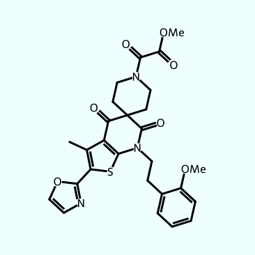 COC(=O)C(=O)N1CCC2(CC1)C(=O)c1c(sc(-c3ncco3)c1C)N(CCc1ccccc1OC)C2=O